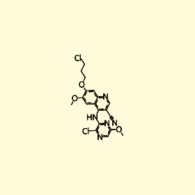 COc1cnc(Cl)c(Nc2c(C#N)cnc3cc(OCCCCl)c(OC)cc23)n1